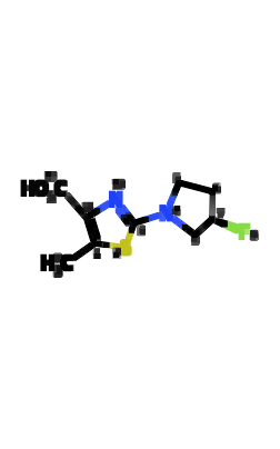 Cc1sc(N2CC[C@@H](F)C2)nc1C(=O)O